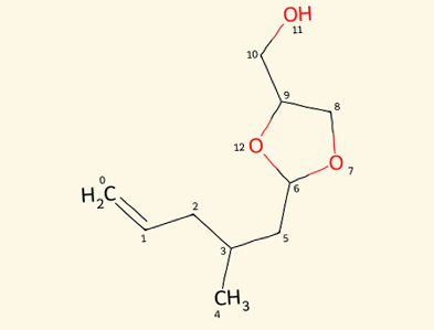 C=CCC(C)CC1OCC(CO)O1